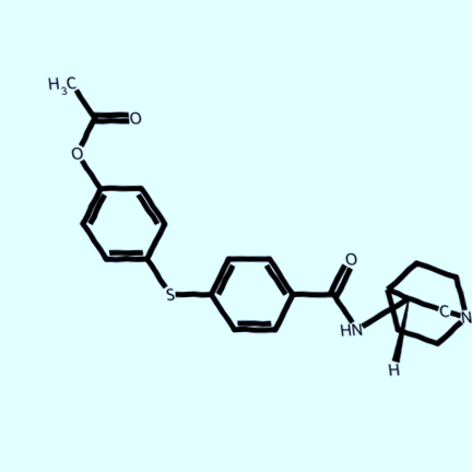 CC(=O)Oc1ccc(Sc2ccc(C(=O)N[C@H]3CN4CCC3CC4)cc2)cc1